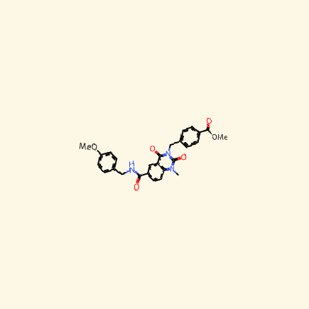 COC(=O)c1ccc(Cn2c(=O)c3cc(C(=O)NCc4ccc(OC)cc4)ccc3n(C)c2=O)cc1